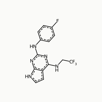 Fc1ccc(Nc2nc(NCC(F)(F)F)c3cc[nH]c3n2)cc1